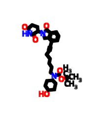 CC(C)(C)OC(=O)N(CCCCCC#Cc1cccc2c1CN(C1CCC(=O)NC1=O)C2=O)[C@H]1CC[C@H](O)CC1